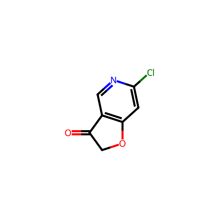 O=C1COc2cc(Cl)ncc21